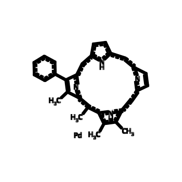 CC1=C(c2ccccc2)c2cc3ccc(cc4nc(cc5[nH]c(c(C)c1n2)c(C)c5C)C=C4)[nH]3.[Pd]